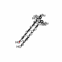 CCCCc1ccc(Oc2ccc(CCCC)c(CCCC)c2C(CO)OCCOCCOCCOCCOCCOCCOCCOCCOCCO)c(C(CO)OCCOCCOCCOCCOCCOCCOCCOCCOCCO)c1CCCC